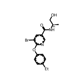 CCc1ccc(Oc2ncc(C(=O)N[C@H](C)CO)cc2Br)cc1